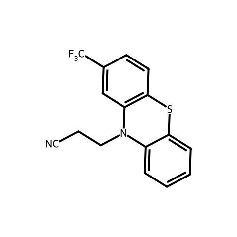 N#CCCN1c2ccccc2Sc2ccc(C(F)(F)F)cc21